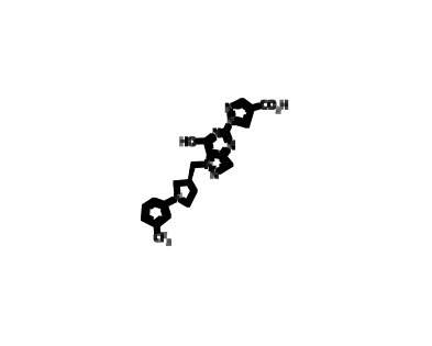 O=C(O)c1cnn(-c2nc(O)c3c(cnn3C[C@H]3CCN(c4cccc(C(F)(F)F)c4)C3)n2)c1